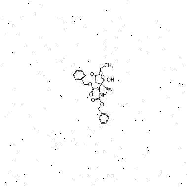 CCOC(=O)CC(C#N)(C(=O)O)N(NC(=O)OCc1ccccc1)C(=O)OCc1ccccc1